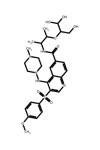 COc1ccc(S(=O)(=O)c2cnc3ccc(C(=O)NC(C)C(C)OC(CO)C(O)O)cc3c2NN2CCN(C)CC2)cc1